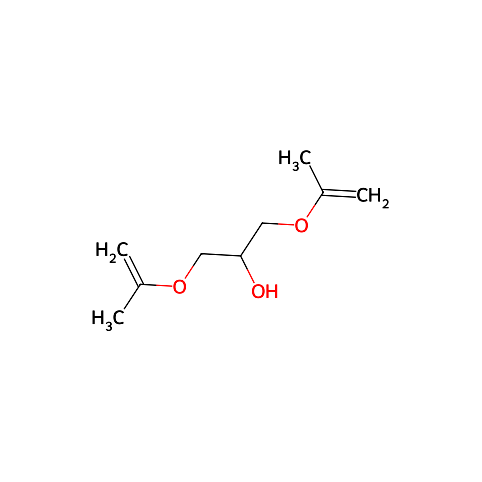 C=C(C)OCC(O)COC(=C)C